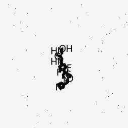 CO[C@@H](CNO)CNc1cc(F)c(N2CCON(Cc3ccncc3)CC2)c(F)c1